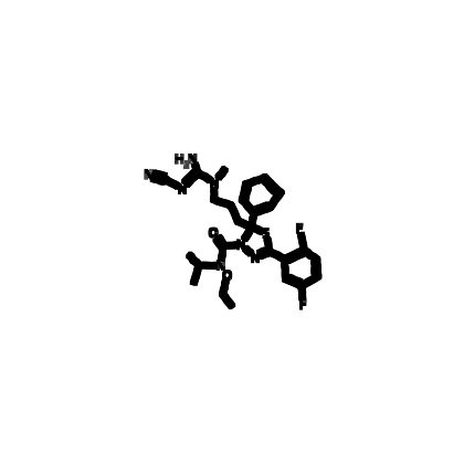 CCON(C(=O)N1N=C(c2cc(F)ccc2F)SC1(CCCN(C)C(N)=NC#N)c1ccccc1)C(C)C